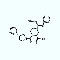 N#CN=C(Oc1ccccc1)N1CCC(C(=O)N2CC[C@H](c3ccccc3)C2)C(C(=O)O)C1